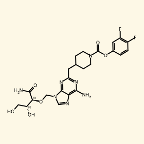 NC(=O)[C@@H](OCn1cnc2c(N)nc(CC3CCN(C(=O)Oc4ccc(F)c(F)c4)CC3)nc21)[C@H](O)CO